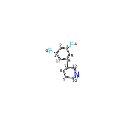 Fc1cc(F)cc(-c2cccnc2)c1